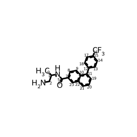 CC(CN)NC(=O)c1ccc2c(-c3ccc(C(F)(F)F)cc3)cccc2c1